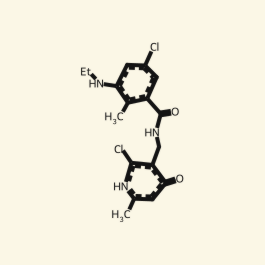 CCNc1cc(Cl)cc(C(=O)NCc2c(Cl)[nH]c(C)cc2=O)c1C